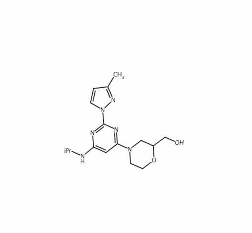 Cc1ccn(-c2nc(NC(C)C)cc(N3CCOC(CO)C3)n2)n1